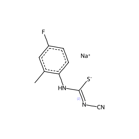 Cc1cc(F)ccc1N/C([S-])=N/C#N.[Na+]